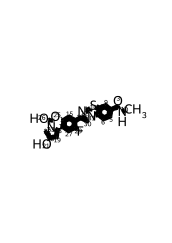 CNC(=O)c1ccc2c(c1)sc1nc(-c3ccc([C@H]4C[C@H](O)CN4C(=O)O)cc3F)cn12